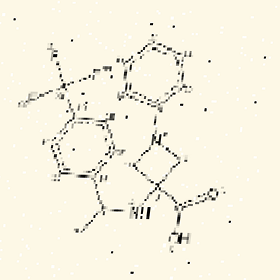 CC(NC1(C(=O)O)CN(c2ccccc2)C1)c1ccc(C(F)(F)F)cc1